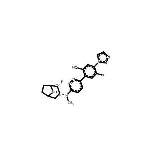 CN(c1ccc(-c2cc(F)c(-n3ccnn3)cc2O)nn1)[C@@H]1CC2CCC(N2)[C@@H]1F